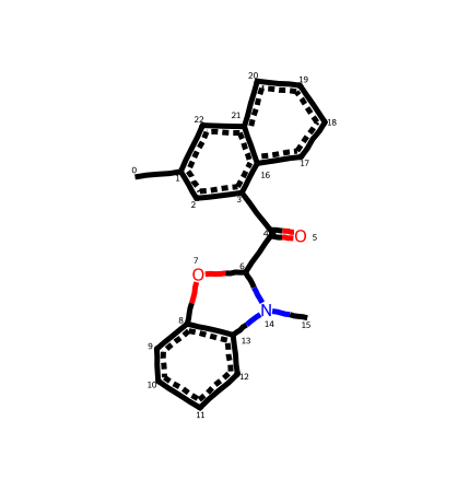 Cc1cc(C(=O)C2Oc3ccccc3N2C)c2ccccc2c1